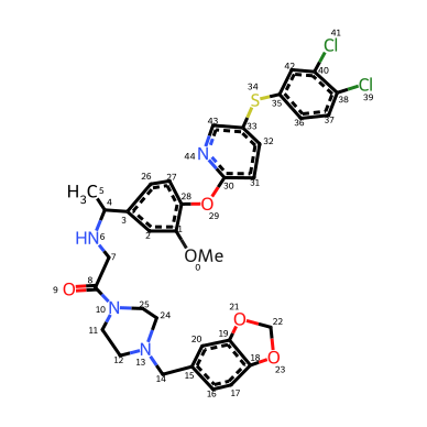 COc1cc(C(C)NCC(=O)N2CCN(Cc3ccc4c(c3)OCO4)CC2)ccc1Oc1ccc(Sc2ccc(Cl)c(Cl)c2)cn1